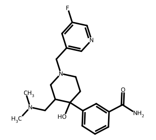 CN(C)CC1CN(Cc2cncc(F)c2)CCC1(O)c1cccc(C(N)=O)c1